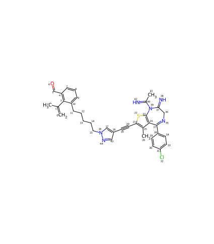 C=C(C)c1c(C=O)cccc1CCCCCn1cc(C#Cc2sc3c(c2C)C(c2ccc(Cl)cc2)=NCC(=N)N3C(C)=N)cn1